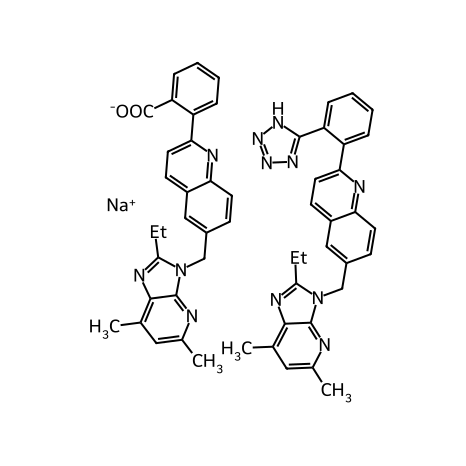 CCc1nc2c(C)cc(C)nc2n1Cc1ccc2nc(-c3ccccc3-c3nnn[nH]3)ccc2c1.CCc1nc2c(C)cc(C)nc2n1Cc1ccc2nc(-c3ccccc3C(=O)[O-])ccc2c1.[Na+]